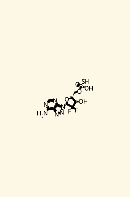 Nc1ncnc2c1nnn2[C@@H]1O[C@H](COP(=O)(O)S)[C@@H](O)C1(F)F